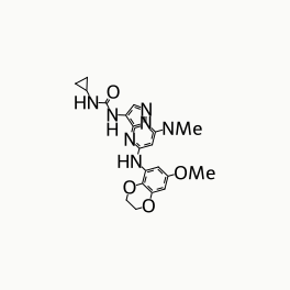 CNc1cc(Nc2cc(OC)cc3c2OCCO3)nc2c(NC(=O)NC3CC3)cnn12